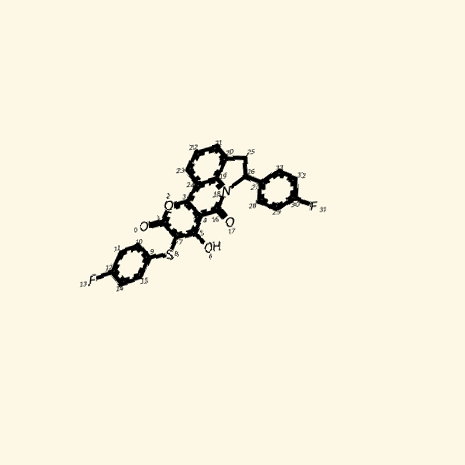 O=c1oc2c(c(O)c1Sc1ccc(F)cc1)c(=O)n1c3c(cccc23)CC1c1ccc(F)cc1